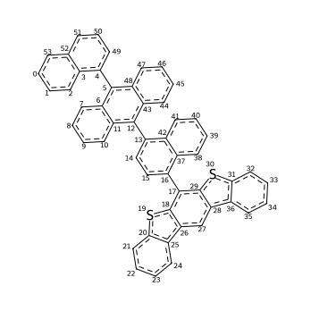 c1ccc2c(-c3c4ccccc4c(-c4ccc(-c5c6sc7ccccc7c6cc6c5sc5ccccc56)c5ccccc45)c4ccccc34)cccc2c1